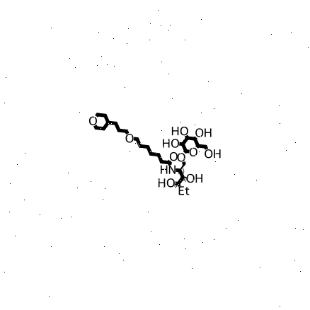 CC[C@@H](O)[C@@H](O)[C@H](COC1OC(CO)C(O)C(O)C1O)NC(=O)CCCCCCOCCCC1CCOCC1